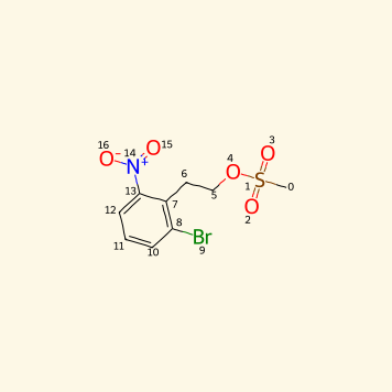 CS(=O)(=O)OCCc1c(Br)cccc1[N+](=O)[O-]